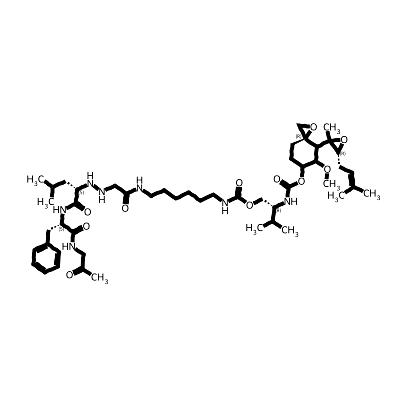 COC1C(OC(=O)N[C@@H](COC(=O)NCCCCCCNC(=O)CNN[C@@H](CC(C)C)C(=O)N[C@@H](Cc2ccccc2)C(=O)NCC(C)=O)C(C)C)CC[C@]2(CO2)C1C1(C)O[C@@H]1CC=C(C)C